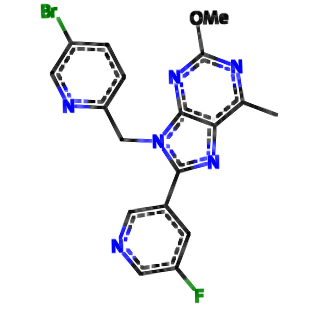 COc1nc(C)c2nc(-c3cncc(F)c3)n(Cc3ccc(Br)cn3)c2n1